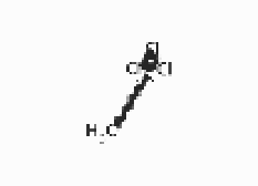 CCCCCCCCCC[CH]Oc1c(Cl)cc(Cl)cc1Cl